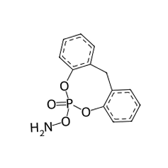 NOP1(=O)Oc2ccccc2Cc2ccccc2O1